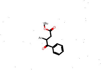 CC(=O)C(CC(=O)OC(C)(C)C)C(=O)c1ccccc1